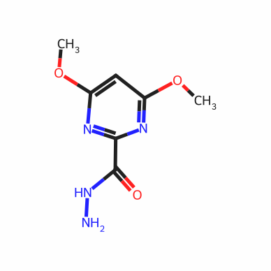 COc1cc(OC)nc(C(=O)NN)n1